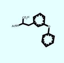 CC(=O)NC(Cc1cccc(Oc2ccccc2)c1)C(=O)O